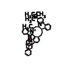 C=C1CC2C(CCc3ccc4c(oc5ccccc54)c3-c3n(-c4ccc(-c5ccccc5)cc4)c4ccccc4[n+]31)c1ccccc1-c1ccc([Si](C)(C)C)c[n+]12